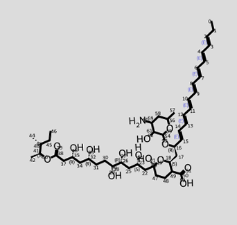 CC/C=C/C=C/C=C/C=C/C=C/C=C/C=C/[C@@H](C[C@@H]1O[C@](O)(C[C@@H](O)C[C@@H](O)[C@H](O)CC[C@@H](O)C[C@@H](O)CC(=O)O[C@@H](C)[C@H](C)CC)CCC1C(=O)O)OC1OC(C)CC(N)C1O